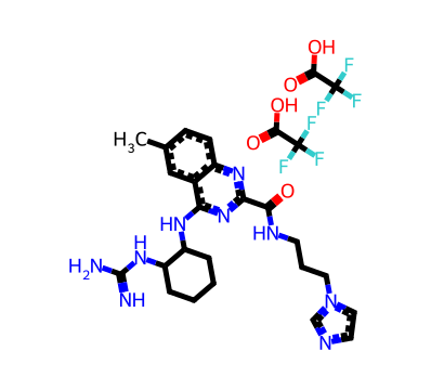 Cc1ccc2nc(C(=O)NCCCn3ccnc3)nc(NC3CCCCC3NC(=N)N)c2c1.O=C(O)C(F)(F)F.O=C(O)C(F)(F)F